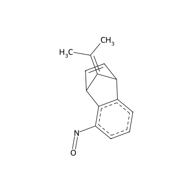 CC(C)=C1C2C=CC1c1c(N=O)cccc12